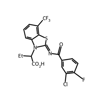 CCC(C(=O)O)n1c(=NC(=O)c2ccc(F)c(Cl)c2)sc2c(C(F)(F)F)cccc21